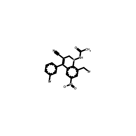 CC(=O)NN1CC(C#N)=C(c2cccc(Br)c2)c2cc([N+](=O)[O-])cc(CBr)c21